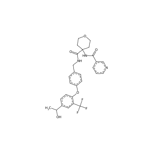 CC(O)c1ccc(Oc2ccc(CNC(=O)C3(NC(=O)c4cccnc4)CCOCC3)cc2)c(C(F)(F)F)c1